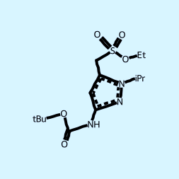 CCOS(=O)(=O)Cc1cc(NC(=O)OC(C)(C)C)nn1C(C)C